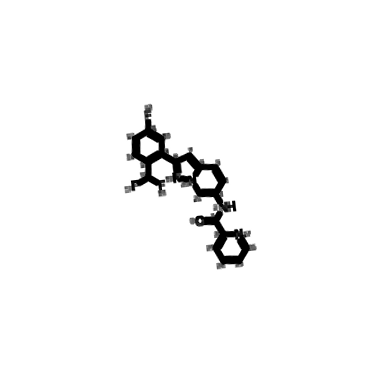 O=C(Nc1ccc2cc(-c3cc(F)ccc3C(F)F)nn2c1)c1ccccn1